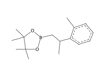 Cc1ccccc1C(C)CB1OC(C)(C)C(C)(C)O1